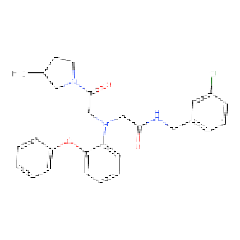 CC1CCN(C(=O)CN(CC(=O)NCc2cccc(Cl)c2)c2ccccc2Oc2ccccc2)C1